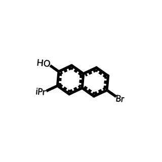 CC(C)c1cc2cc(Br)ccc2cc1O